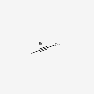 CC#[C][Zn+].[Br-]